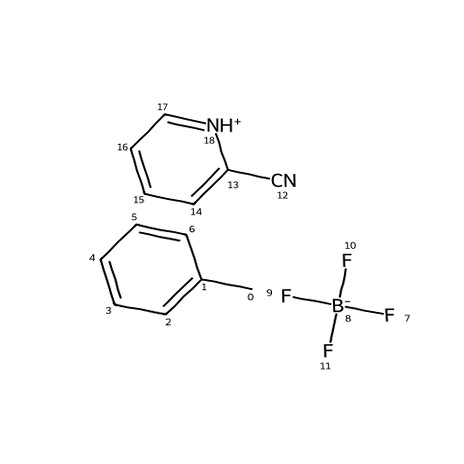 Cc1ccccc1.F[B-](F)(F)F.N#Cc1cccc[nH+]1